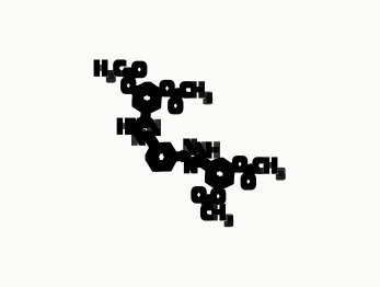 CC(=O)Oc1cc(OC(C)=O)cc(-c2nc(-c3cccc(-c4n[nH]c(-c5cc(OC(C)=O)cc(OC(C)=O)c5)n4)c3)n[nH]2)c1